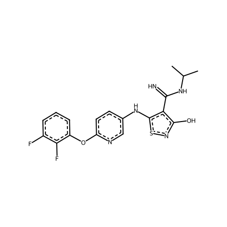 CC(C)NC(=N)c1c(O)nsc1Nc1ccc(Oc2cccc(F)c2F)nc1